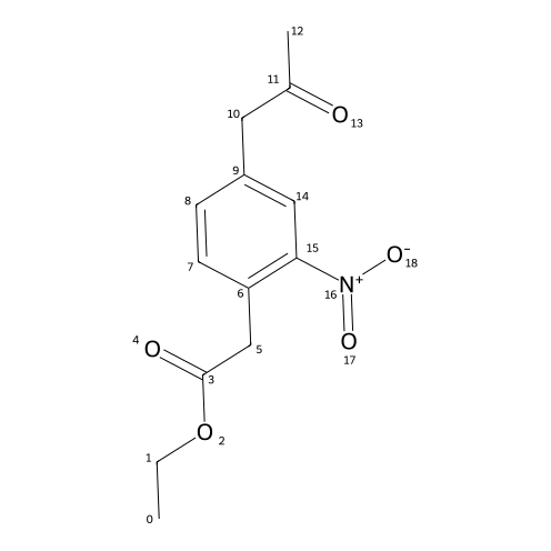 CCOC(=O)Cc1ccc(CC(C)=O)cc1[N+](=O)[O-]